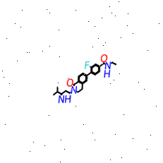 CCNC(=O)c1ccc(-c2ccc3c(c2)CCN([C@H](C)CC(=N)C(C)C)C3=O)c(F)c1